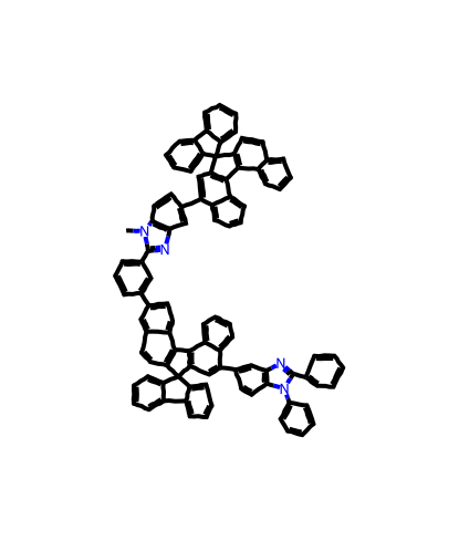 Cn1c(-c2cccc(-c3ccc4c5c(ccc4c3)C3(c4ccccc4-c4ccccc43)c3cc(-c4ccc6c(c4)nc(-c4ccccc4)n6-c4ccccc4)c4ccccc4c3-5)c2)nc2cc(-c3cc4c(c5ccccc35)-c3c(ccc5ccccc35)C43c4ccccc4-c4ccccc43)ccc21